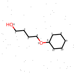 OCCCCO[C]1CCCCC1